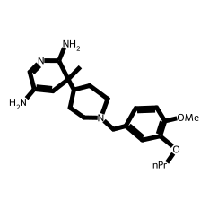 CCCOc1cc(CN2CCC(C3(C)C=C(N)C=NC3N)CC2)ccc1OC